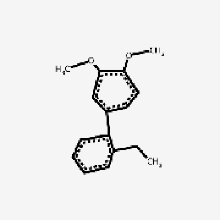 CCc1ccccc1-c1ccc(OC)c(OC)c1